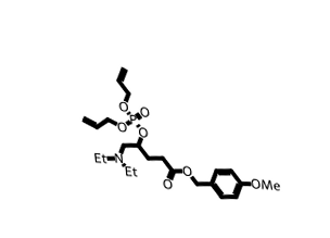 C=CCOP(=O)(OCC=C)OC(CCC(=O)OCc1ccc(OC)cc1)CN(CC)CC